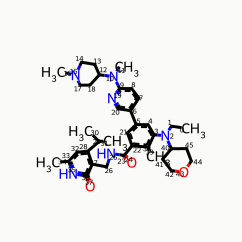 CCN(c1cc(-c2ccc(N(C)C3CCN(C)CC3)nc2)cc(C(=O)NCc2c(C(C)C)cc(C)[nH]c2=O)c1C)C1CCOCC1